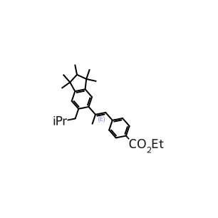 CCOC(=O)c1ccc(/C=C(\C)c2cc3c(cc2CC(C)C)C(C)(C)C(C)C3(C)C)cc1